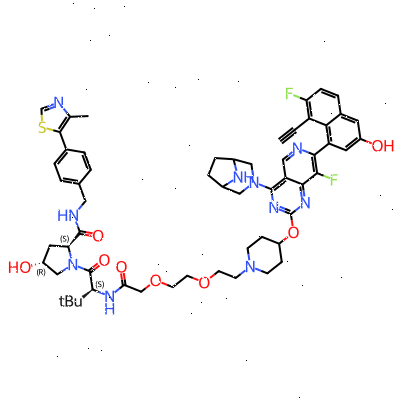 C#Cc1c(F)ccc2cc(O)cc(-c3ncc4c(N5CC6CCC(C5)N6)nc(OC5CCN(CCOCCOCC(=O)N[C@H](C(=O)N6C[C@H](O)C[C@H]6C(=O)NCc6ccc(-c7scnc7C)cc6)C(C)(C)C)CC5)nc4c3F)c12